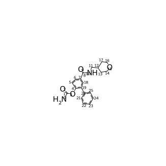 NC(=O)Oc1ccc(C(=O)NCC2CCOCC2)cc1-c1ccccc1